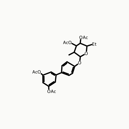 CCC1OC(Oc2ccc(-c3cc(OC(C)=O)cc(OC(C)=O)c3)cc2)C(C)C(OC(C)=O)C1OC(C)=O